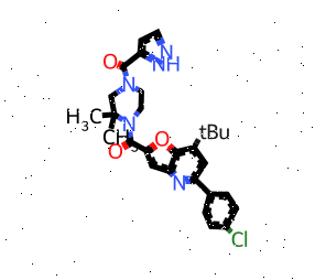 CC(C)(C)c1cc(-c2ccc(Cl)cc2)nc2cc(C(=O)N3CCN(C(=O)c4ccn[nH]4)CC3(C)C)oc12